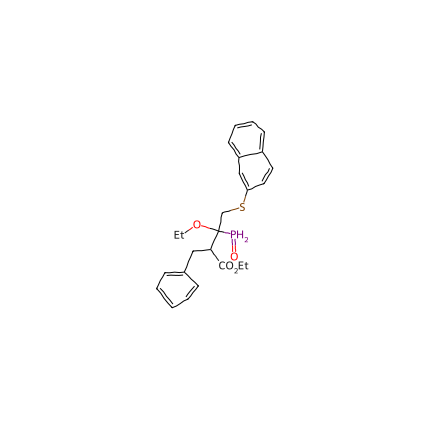 CCOC(=O)C(Cc1ccccc1)C(CSc1ccc2ccccc2c1)(OCC)[PH2]=O